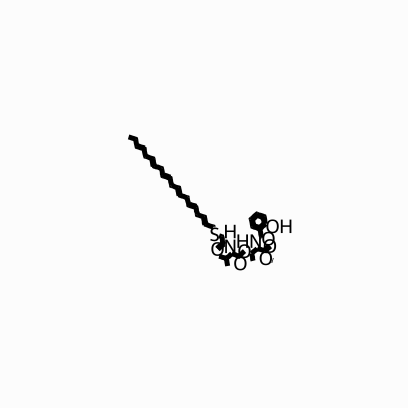 CCC=CCC=CCC=CCC=CCC=CCC=CCSCC(=O)NC(C(=O)OC(C)C(NC(=O)c1ccccc1O)C(=O)OC)C(C)C